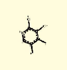 Cc1cnc(Cl)c(Cl)c1C